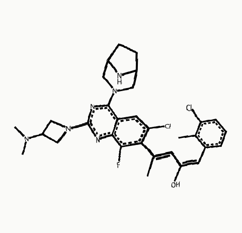 C/C(=C\C(O)=C/c1cccc(Cl)c1C)c1c(Cl)cc2c(N3CC4CCC(C3)N4)nc(N3CC(N(C)C)C3)nc2c1F